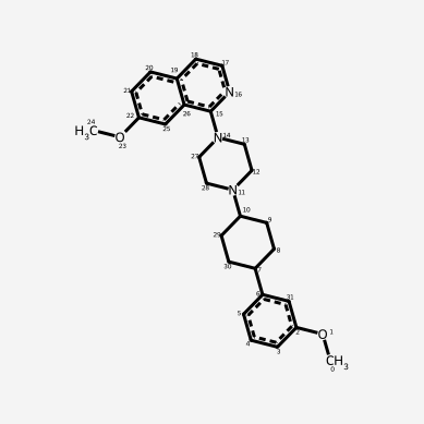 COc1cccc(C2CCC(N3CCN(c4nccc5ccc(OC)cc45)CC3)CC2)c1